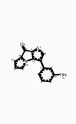 O=C1c2scc(-c3cc[c]c(O)c3)c2-n2cccc21